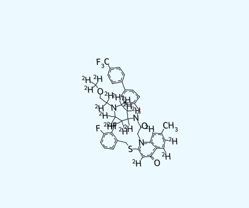 [2H]c1c(C)c([2H])c2c(c1[2H])c(=O)c([2H])c(SCc1cccc(F)c1F)n2CC(=O)N(Cc1ccc(-c2ccc(C(F)(F)F)cc2)cc1)C1([2H])C([2H])([2H])C([2H])([2H])N(C([2H])([2H])COC([2H])([2H])[2H])C([2H])([2H])C1([2H])[2H]